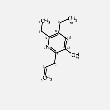 C=CCc1nc(CC)c(CC)nc1O